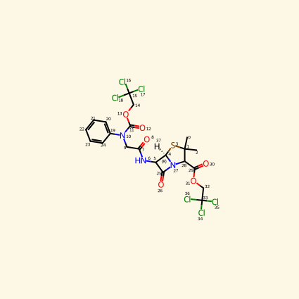 CC1(C)S[C@@H]2C(NC(=O)CN(C(=O)OCC(Cl)(Cl)Cl)c3ccccc3)C(=O)N2C1C(=O)OCC(Cl)(Cl)Cl